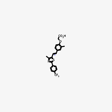 Cc1cc(/C=C/c2sc(-c3ccc(C(F)(F)F)cc3)nc2C)ccc1OCC(=O)O